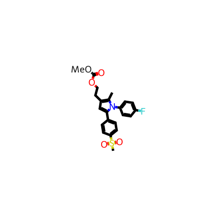 COC(=O)OCCc1cc(-c2ccc(S(C)(=O)=O)cc2)n(-c2ccc(F)cc2)c1C